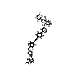 COS(=O)(=O)CC1C2CN(Cc3ccc(C#Cc4ccc(-c5cc(Cn6ccnc6[C@H](C)OC6CCCCO6)no5)cc4)cn3)CC21